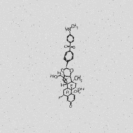 CNc1ccc(S(=O)(=O)c2ccc([C@@H]3O[C@@H]4C[C@H]5[C@@H]6C[C@H](F)C7=CC(=O)C=C[C@]7(C)[C@@]6(F)[C@@H](O)C[C@]5(C)[C@]4(C(=O)CO)O3)cc2)cc1